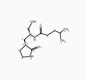 CC(C)C[CH]C(=O)N[C@H](CO)C[C@@H]1CCNC1=O